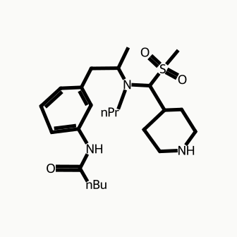 CCCCC(=O)Nc1cccc(CC(C)N(CCC)C(C2CCNCC2)S(C)(=O)=O)c1